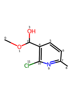 COC(O)c1ccc(C)nc1Cl